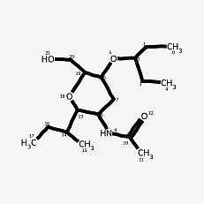 CCC(CC)OC1CC(NC(C)=O)C(C(C)CC)OC1CO